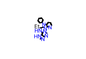 CC[C@H](Nc1ncnc2nc[nH]c12)c1nc2ncccc2n1-c1ccccc1